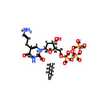 NC=CCc1cn([C@H]2C[C@H](O)[C@@H](COP(=O)([O-])OP(=O)([O-])OP(=O)([O-])[O-])O2)c(=O)[nH]c1=O.[Li+].[Li+].[Li+].[Li+]